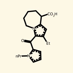 CCCn1cccc1C(=O)c1c(CC)cc2n1CCCCC2C(=O)O